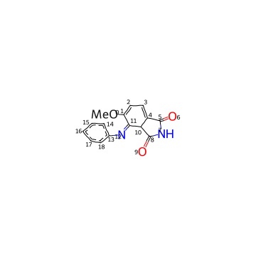 COC1=CC=C2C(=O)NC(=O)C2C1=Nc1ccccc1